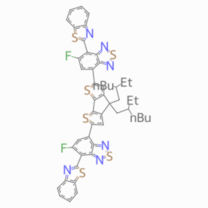 CCCCC(CC)CC1(CC(CC)CCCC)c2cc(-c3cc(F)c(-c4nc5ccccc5s4)c4nsnc34)sc2-c2sc(-c3cc(F)c(-c4nc5ccccc5s4)c4nsnc34)cc21